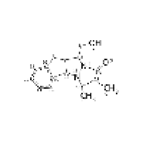 CC1C(=O)N2C(CO)C3Cc4ccccc4C3N2C1C